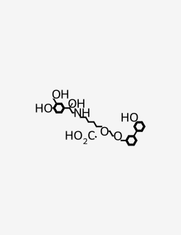 CC(=O)O.OCc1cc([C@@H](O)CNCCCCCCOCCOCc2cccc(-c3cccc(O)c3)c2)ccc1O